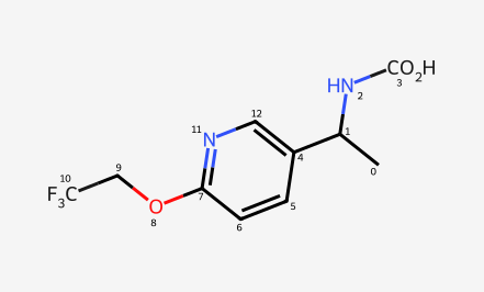 CC(NC(=O)O)c1ccc(OCC(F)(F)F)nc1